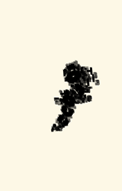 CCc1cc(Nc2ncc(Br)c(Nc3ccc4nccnc4c3P(C)C)n2)c(OC)cc1N1CCC(N2CCN(C(C)=O)CC2)CC1